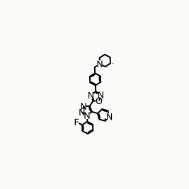 Fc1ccccc1-n1nnc(-c2nc(-c3ccc(CN4C[CH]CCC4)cc3)no2)c1-c1ccncc1